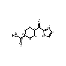 O=C(c1nccs1)C1CCN(C(=O)O)CC1